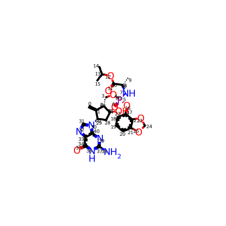 C=C1[C@H](CO[P@](=O)(N[C@@H](C)C(=O)OC(C)C)Oc2cccc3c2OCO3)[C@@H](O)C[C@@H]1n1cnc2c(=O)[nH]c(N)nc21